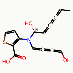 CC=C=C=C[C@@H](O)N(C=C=C=CO)c1ccsc1C(=O)O